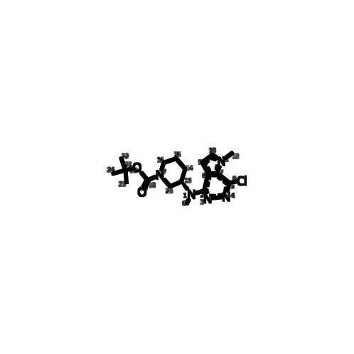 CN(c1nnc(Cl)c2c1ccn2C)[C@@H]1CCCN(C(=O)OC(C)(C)C)C1